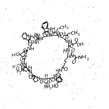 CCCC[C@H]1C(=O)N(C)[C@@H](CCCC)C(=O)N[C@@H](CCC(=O)O)C(=O)N[C@H](C(=O)NCC(N)=O)CSCC(=O)N[C@@H](Cc2ccc(O)cc2)C(=O)N(C)[C@@H](C)C(=O)N[C@@H](CC(N)=O)C(=O)N2CCC[C@H]2C(=O)N[C@@H](CN)C(=O)N[C@@H](CC(C)C)C(=O)N2C[C@H](O)C[C@H]2C(=O)N[C@@H](Cc2c[nH]c3ccccc23)C(=O)N[C@@H](CO)C(=O)N[C@@H](Cc2c[nH]c3ccccc23)C(=O)N1C